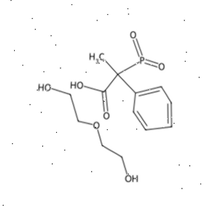 CC(C(=O)O)(c1ccccc1)P(=O)=O.OCCOCCO